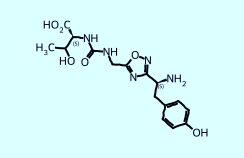 CC(O)[C@H](NC(=O)NCc1nc([C@@H](N)Cc2ccc(O)cc2)no1)C(=O)O